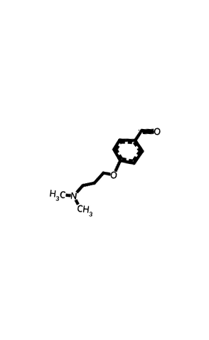 CN(C)CCCOc1ccc([C]=O)cc1